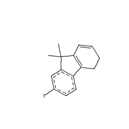 CC1(C)C2=C(CCC=C2)c2ccc(I)cc21